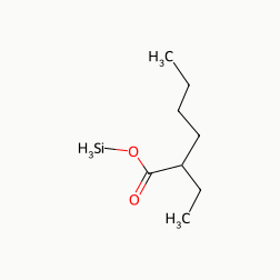 CCCCC(CC)C(=O)O[SiH3]